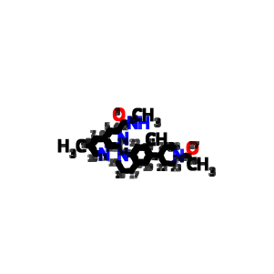 CNC(=O)c1cc2cc(C)cnc2c(N2CCCc3cc(C4CCN(C(C)=O)CC4)c(C)cc32)n1